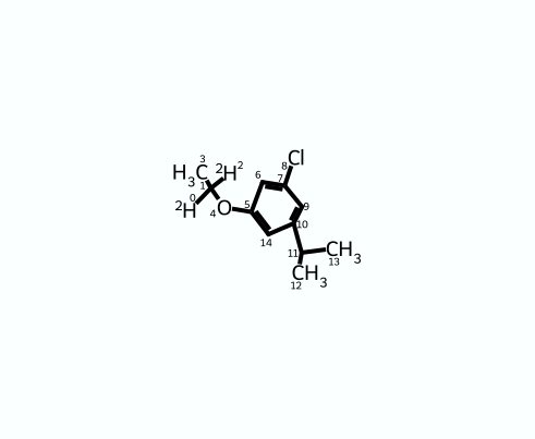 [2H]C([2H])(C)Oc1cc(Cl)cc(C(C)C)c1